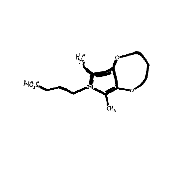 Cc1c2c(c(C)n1CCCS(=O)(=O)O)OCCCO2